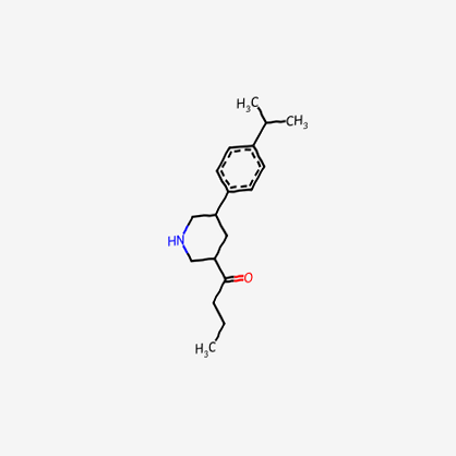 CCCC(=O)C1CNCC(c2ccc(C(C)C)cc2)C1